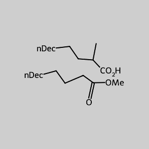 CCCCCCCCCCCCC(C)C(=O)O.CCCCCCCCCCCCCC(=O)OC